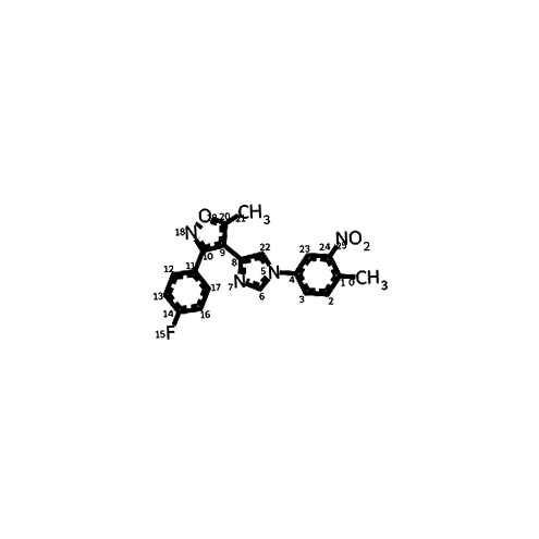 Cc1ccc(-n2cnc(-c3c(-c4ccc(F)cc4)noc3C)c2)cc1[N+](=O)[O-]